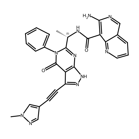 C[C@H](NC(=O)c1c(N)ncc2cccnc12)c1nc2[nH]nc(C#Cc3cnn(C)c3)c2c(=O)n1-c1ccccc1